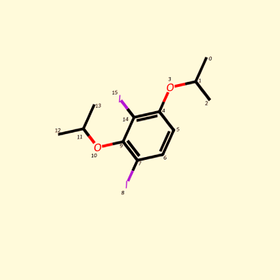 CC(C)Oc1ccc(I)c(OC(C)C)c1I